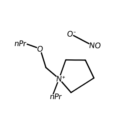 CCCOC[N+]1(CCC)CCCC1.O=N[O-]